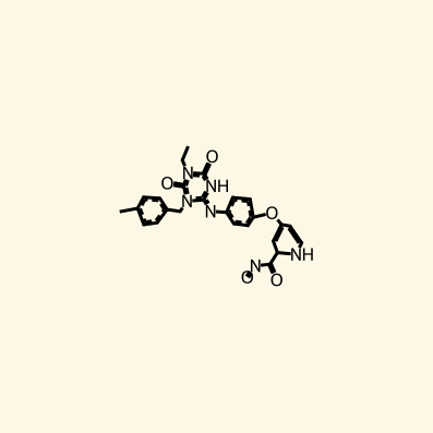 CCn1c(=O)[nH]/c(=N\c2ccc(OC3=CC(C(=O)N=O)NC=C3)cc2)n(Cc2ccc(C)cc2)c1=O